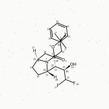 CC(C)(C)OC(=O)N1[C@H]2CC[C@H]1[C@@H]([C@@H](O)C(F)F)N(Cc1ccccc1)C2